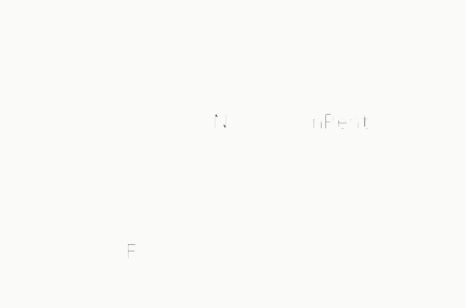 CCCCCC(C)N1CCC[C@H]1C(C)(C)F